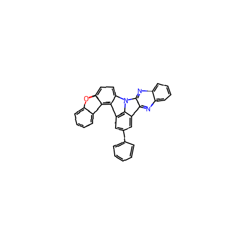 c1ccc(-c2cc3c4nc5ccccc5nc4n4c5ccc6oc7ccccc7c6c5c(c2)c34)cc1